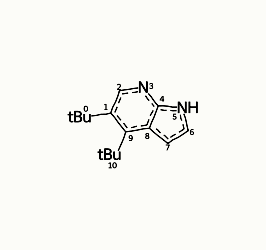 CC(C)(C)c1cnc2[nH]ccc2c1C(C)(C)C